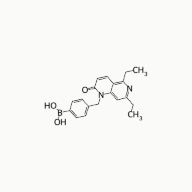 CCc1cc2c(ccc(=O)n2Cc2ccc(B(O)O)cc2)c(CC)n1